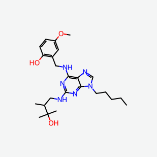 CCCCCn1cnc2c(NCc3cc(OC)ccc3O)nc(NCC(C)C(C)(C)O)nc21